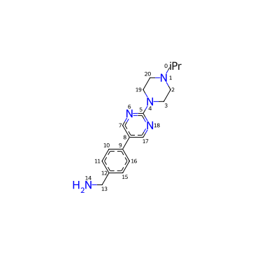 CC(C)N1CCN(c2ncc(-c3ccc(CN)cc3)cn2)CC1